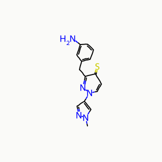 Cn1cc(-n2ccc(=S)c(Cc3cccc(N)c3)n2)cn1